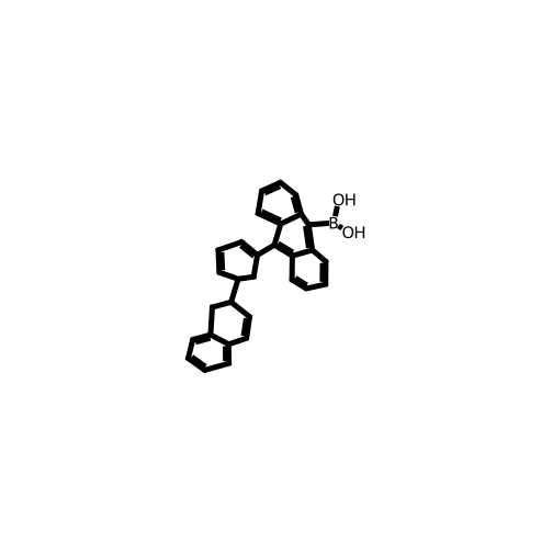 OB(O)c1c2ccccc2c(C2=CC=CC(C3C=Cc4ccccc4C3)C2)c2ccccc12